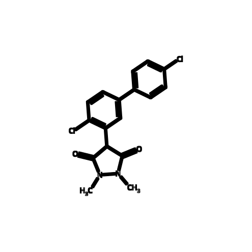 CN1C(=O)C(c2cc(-c3ccc(Cl)cc3)ccc2Cl)C(=O)N1C